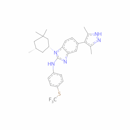 Cc1n[nH]c(C)c1-c1ccc2c(c1)nc(Nc1ccc(SC(F)(F)F)cc1)n2[C@@H]1C[C@H](C)CC(C)(C)C1